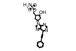 NS(=O)(=O)OCC1C[C@@H](n2cnc3c(C#Cc4ccccc4)ncnc32)C[C@@H]1O